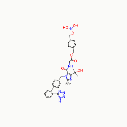 CCCc1nc(C(C)(C)O)c(C(=O)NCC(=O)OCc2ccc(CON(O)O)cc2)n1Cc1ccc(-c2ccccc2-c2nnn[nH]2)cc1